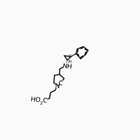 O=C(O)CCCN1CCC(CN[C@@H]2C[C@H]2c2ccccc2)CC1